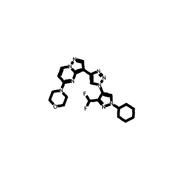 FC(F)c1nn(C2CCCCC2)cc1-n1cc(-c2cnn3ccc(N4CCOCC4)nc23)nn1